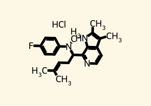 CC(C)=CCC(c1nccc2c(C)c(C)[nH]c12)N(C)c1ccc(F)cc1.Cl